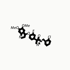 COc1cc2nccc(Oc3ccc(-c4cncn(Cc5ccccc5Cl)c4=O)cc3F)c2cc1OC